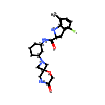 Cc1ccc(F)c2cc(C(=O)N[C@@H]3CCC[C@H](N4CC5(CNC(=O)CO5)C4)C3)[nH]c12